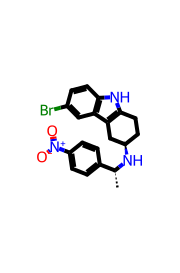 C[C@@H](N[C@@H]1CCc2[nH]c3ccc(Br)cc3c2C1)c1ccc([N+](=O)[O-])cc1